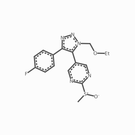 CCOCn1nnc(-c2ccc(F)cc2)c1-c1cnc([S+](C)[O-])nc1